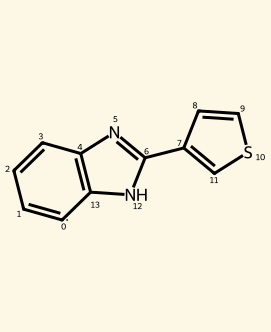 [c]1cccc2nc(-c3ccsc3)[nH]c12